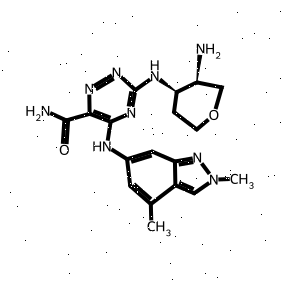 Cc1cc(Nc2nc(N[C@@H]3CCOC[C@@H]3N)nnc2C(N)=O)cc2nn(C)cc12